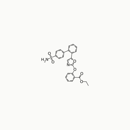 CCOC(=O)c1ccccc1Oc1ncc(-c2ccccc2-c2ccc(S(N)(=O)=O)cc2)o1